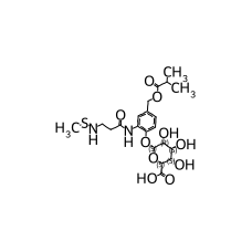 CSNCCC(=O)Nc1cc(COC(=O)C(C)C)ccc1O[C@@H]1O[C@H](C(=O)O)[C@@H](O)[C@H](O)[C@H]1O